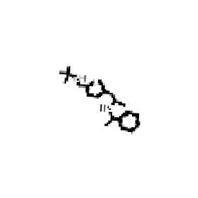 CC(Cc1ccc(CNC(C)(C)C)cc1)NC(C)c1ccccc1